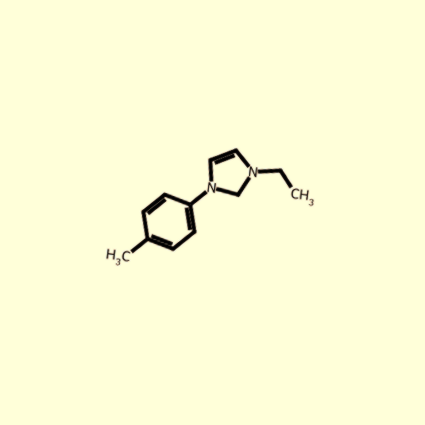 CCN1C=CN(c2ccc(C)cc2)C1